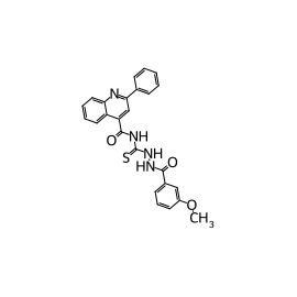 COc1cccc(C(=O)NNC(=S)NC(=O)c2cc(-c3ccccc3)nc3ccccc23)c1